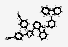 N#Cc1ccc(-c2nnc(-c3cccc4c3c3ccccc3n4-c3cccc(-n4c5ccccc5c5ccccc54)c3)n2-c2ccc(C#N)cc2)cc1